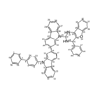 c1ccc(-c2ccc(-n3c4ccccc4c4ccc(-c5ccc6c7ccccc7n(C7Nc8c(oc9ccccc89)C(c8ccccc8)N7)c6c5)cc43)cc2)cc1